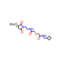 CO[C@H]1CC(=O)N(CCNC(=O)CSCC(=O)NCC2CCC2)C1=O